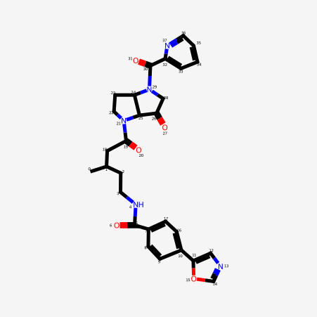 CC(CCNC(=O)c1ccc(-c2cnco2)cc1)CC(=O)N1CCC2C1C(=O)CN2C(=O)c1ccccn1